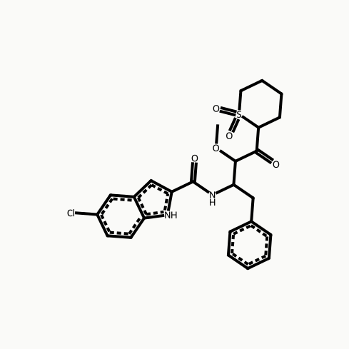 COC(C(=O)C1CCCCS1(=O)=O)C(Cc1ccccc1)NC(=O)c1cc2cc(Cl)ccc2[nH]1